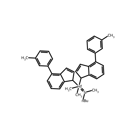 CCCC[Si](C)=[Hf]([CH3])([CH3])([CH]1C=Cc2c(-c3cccc(C)c3)cccc21)[CH]1C=Cc2c(-c3cccc(C)c3)cccc21